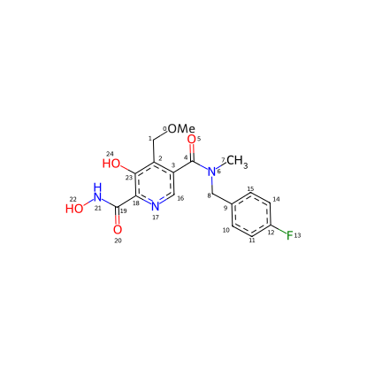 COCc1c(C(=O)N(C)Cc2ccc(F)cc2)cnc(C(=O)NO)c1O